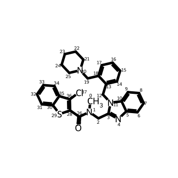 CN(Cc1nc2ccccc2n1Cc1ccccc1CN1CCCCC1)C(=O)c1sc2ccccc2c1Cl